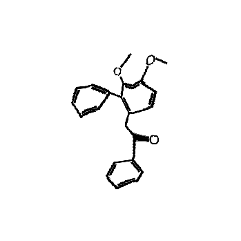 COc1ccc(CC(=O)c2ccccc2)c(-c2ccccc2)c1OC